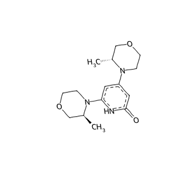 C[C@@H]1COCCN1c1cc(N2CCOC[C@@H]2C)[nH]c(=O)c1